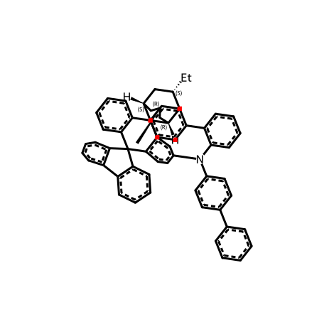 CC[C@@H]1C[C@H]2C[C@H](C)C[C@@H](C1)C21c2ccccc2C2(c3ccccc3-c3ccccc32)c2ccc(N(c3ccc(-c4ccccc4)cc3)c3ccccc3-c3ccccc3)cc21